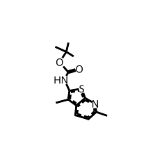 Cc1ccc2c(C)c(NC(=O)OC(C)(C)C)sc2n1